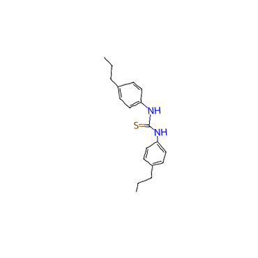 CCCc1ccc(NC(=S)Nc2ccc(CCC)cc2)cc1